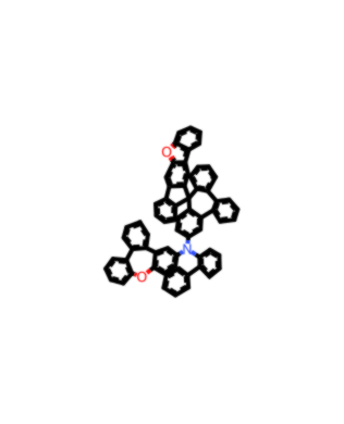 c1ccc(-c2ccccc2N(c2ccc3c(c2)-c2ccccc2-c2ccccc2O3)c2ccc3c(c2)-c2ccccc2-c2ccccc2C32c3ccccc3-c3cc4oc5ccccc5c4cc32)cc1